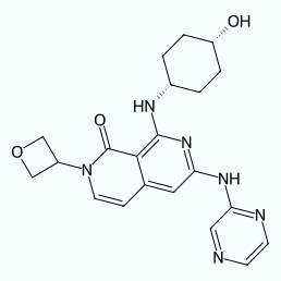 O=c1c2c(N[C@H]3CC[C@@H](O)CC3)nc(Nc3cnccn3)cc2ccn1C1COC1